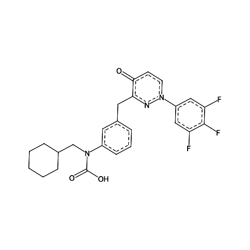 O=C(O)N(CC1CCCCC1)c1cccc(Cc2nn(-c3cc(F)c(F)c(F)c3)ccc2=O)c1